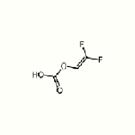 O=C(O)OC=C(F)F